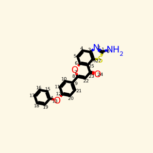 Nc1nc2ccc3oc(-c4ccc(Oc5ccccc5)cc4)cc(=O)c3c2s1